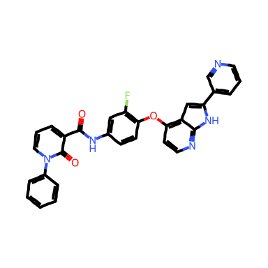 O=C(Nc1ccc(Oc2ccnc3[nH]c(-c4cccnc4)cc23)c(F)c1)c1cccn(-c2ccccc2)c1=O